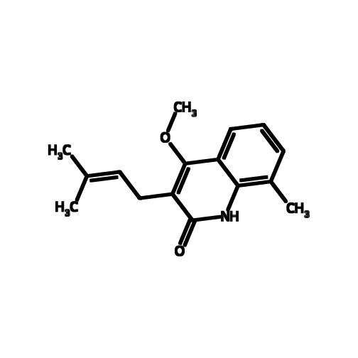 COc1c(CC=C(C)C)c(=O)[nH]c2c(C)cccc12